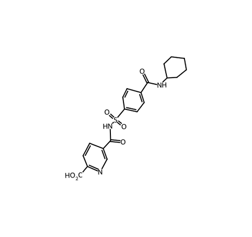 O=C(NC1CCCCC1)c1ccc(S(=O)(=O)NC(=O)c2ccc(C(=O)O)nc2)cc1